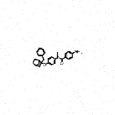 Nc1ccc(C(=O)Nc2ccc(OC3(Cc4ccccc4)CC4CCC3C4)cc2)cc1